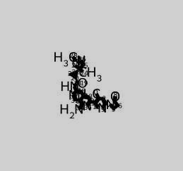 Cc1cc(N2CCC2=O)ncc1-c1cc2cc(NC(=O)[C@H]3C[C@@H]3C3(C)C=NN(C)C3)ncc2c(N)n1